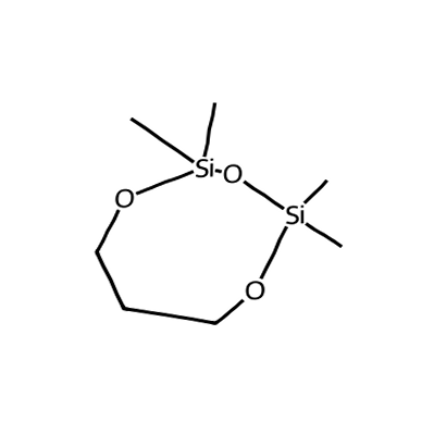 C[Si]1(C)OCCCO[Si](C)(C)O1